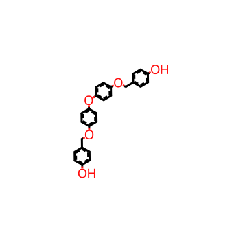 Oc1ccc(COc2ccc(Oc3ccc(OCc4ccc(O)cc4)cc3)cc2)cc1